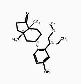 CC[C@@H](COC)c1cc(O)ccc1[C@H]1CC[C@]2(C)C(=O)CC[C@@]2(N)C1